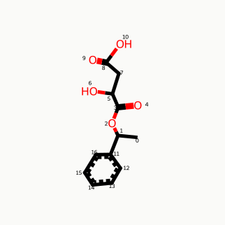 CC(OC(=O)C(O)CC(=O)O)c1ccccc1